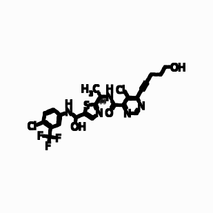 C[C@@H](NC(=O)c1ncnc(C#CCCCO)c1Cl)c1ncc(C(O)Nc2ccc(Cl)c(C(F)(F)F)c2)s1